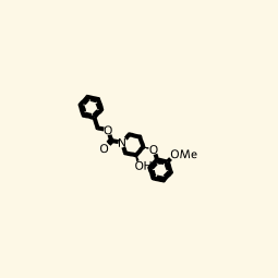 COc1ccccc1O[C@H]1CCN(C(=O)OCc2ccccc2)C[C@@H]1O